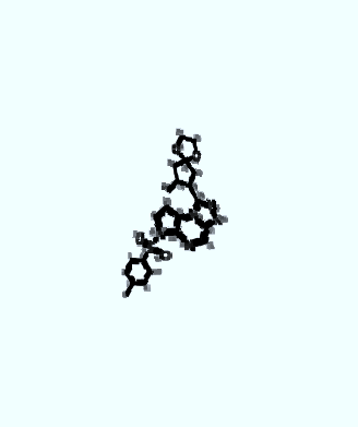 Cc1ccc(S(=O)(=O)n2ccc3c2ncc2nnc(C4CC5(CC4C)OCCO5)n23)cc1